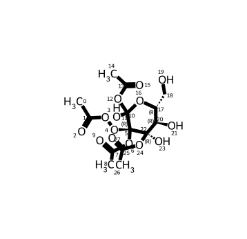 CC(=O)OO[C@@]1(OC(C)=O)C(O)(OC(C)=O)O[C@H](CO)[C@@H](O)[C@@]1(O)OC(C)=O